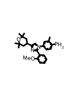 COc1ccccc1-c1nc(C2CC(C)(C)OC(C)(C)C2)cn1-c1ccc(P)c(C)c1